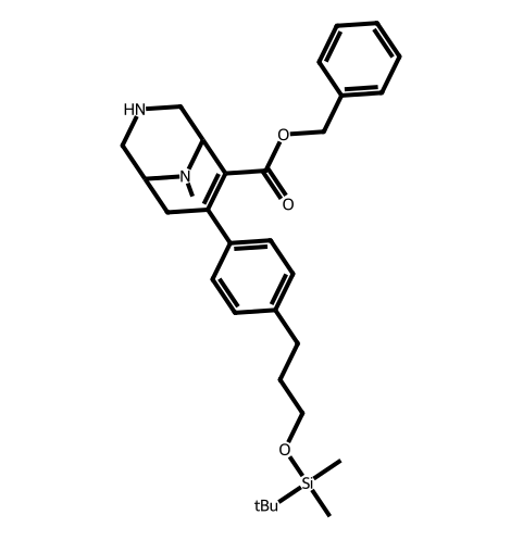 CN1C2CNCC1C(C(=O)OCc1ccccc1)=C(c1ccc(CCCO[Si](C)(C)C(C)(C)C)cc1)C2